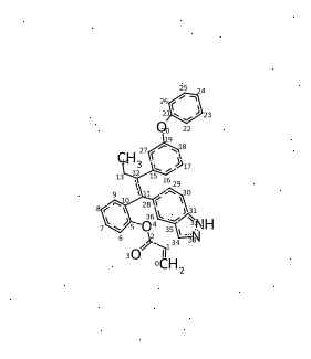 C=CC(=O)Oc1ccccc1/C(=C(\CC)c1cccc(Oc2ccccc2)c1)c1ccc2[nH]ncc2c1